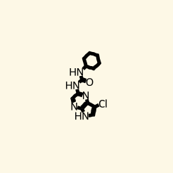 O=C(Nc1cnc2[nH]cc(Cl)c2n1)NC1CCCCC1